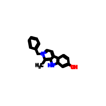 Cc1c2[nH]c3cc(O)ccc3c2cc[n+]1Cc1ccccc1